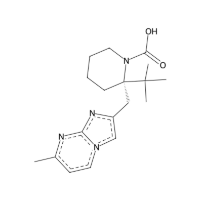 Cc1ccn2cc(C[C@]3(C(C)(C)C)CCCCN3C(=O)O)nc2n1